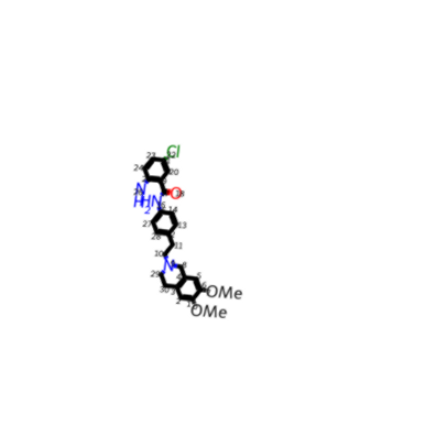 COc1cc2c(cc1OC)CN(CCc1ccc(NC(=O)c3cc(Cl)ccc3N)cc1)CC2